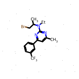 CCN(c1nc(C)cc(-c2cccc(C(F)(F)F)c2)n1)C(C)CBr